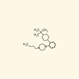 CCCCN1CCN(c2[c]cccc2C2CCC(C(C)(C)C)CC2)CC1